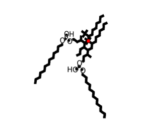 CCCCCCCCCCCCCOP(O)OCCC(C)C(CC(CCCCCCC)C(C)(C)C)C(CCC)C(CC(CCCCCCC)C(C)(C)C)C(C)CCOP(O)OCCCCCCCCCCCCC